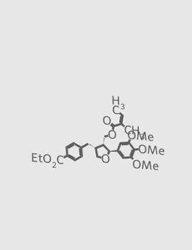 C/C=C(/C)C(=O)OC[C@H]1[C@@H](Cc2ccc(C(=O)OCC)cc2)CO[C@@H]1c1cc(OC)c(OC)c(OC)c1